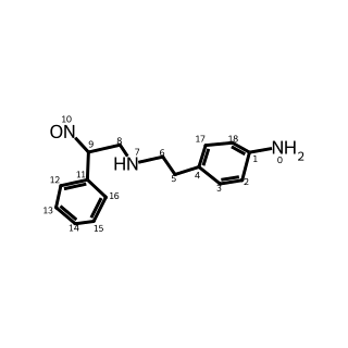 Nc1ccc(CCNCC(N=O)c2ccccc2)cc1